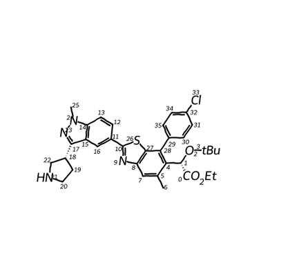 CCOC(=O)[C@@H](OC(C)(C)C)c1c(C)cc2nc(-c3ccc4c(c3)c([C@@H]3CCNC3)nn4C)sc2c1-c1ccc(Cl)cc1